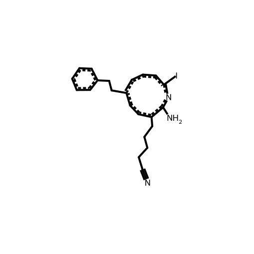 N#CCCCCc1ccc(CCc2ccccc2)cccc(I)nc1N